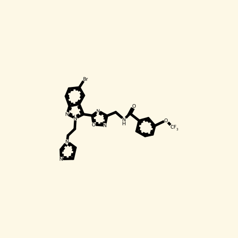 O=C(NCc1noc(-c2c3cc(Br)ccc3nn2CCn2ccnc2)n1)c1cccc(OC(F)(F)F)c1